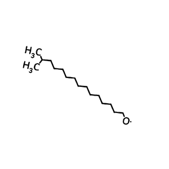 CC(C)CCCCCCCCCCCCC[O]